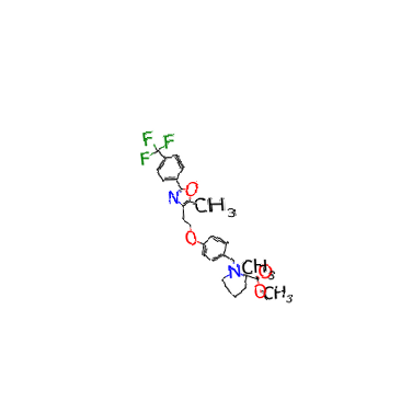 COC(=O)C1(C)CCCCN1Cc1ccc(OCCc2nc(-c3ccc(C(F)(F)F)cc3)oc2C)cc1